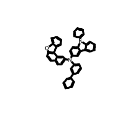 c1ccc(-c2cccc(N(c3ccc4ccc5oc6ccccc6c5c4c3)c3ccc4c(c3)c3ccccc3n4-c3ccccc3)c2)cc1